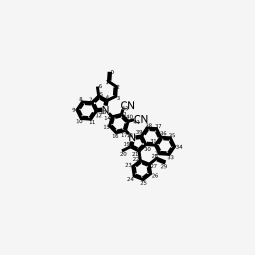 C=C/C=C\c1c(C)c2ccccc2n1-c1ccc(-n2c(C)c(-c3ccccc3C=C)c3c4ccccc4ccc32)c(C#N)c1C#N